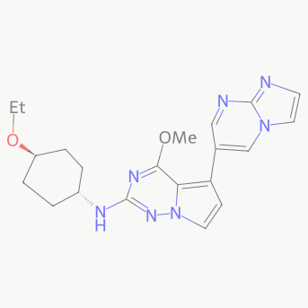 CCO[C@H]1CC[C@H](Nc2nc(OC)c3c(-c4cnc5nccn5c4)ccn3n2)CC1